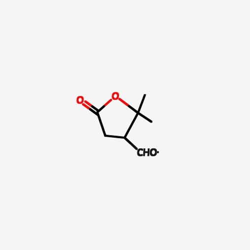 CC1(C)OC(=O)CC1[C]=O